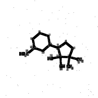 CC1(C)CCN(C2CCCN(C(=O)O)C2)S1(O)O